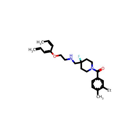 C=C/C=C(\C=C/C)OCCNCC1(F)CCN(C(=O)c2ccc(C)c(CC)c2)CC1